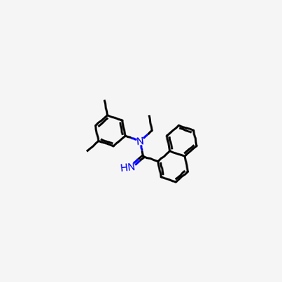 CCN(C(=N)c1cccc2ccccc12)c1cc(C)cc(C)c1